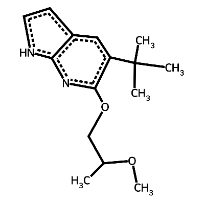 COC(C)COc1nc2[nH]ccc2cc1C(C)(C)C